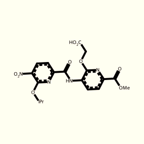 COC(=O)c1ccc(NC(=O)c2ccc([N+](=O)[O-])c(OC(C)C)n2)c(OCC(=O)O)n1